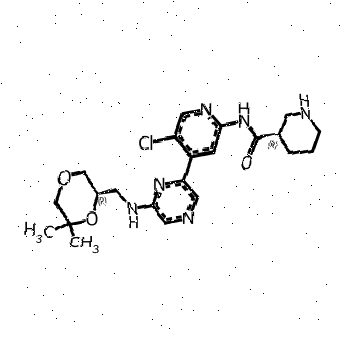 CC1(C)COC[C@@H](CNc2cncc(-c3cc(NC(=O)[C@@H]4CCCNC4)ncc3Cl)n2)O1